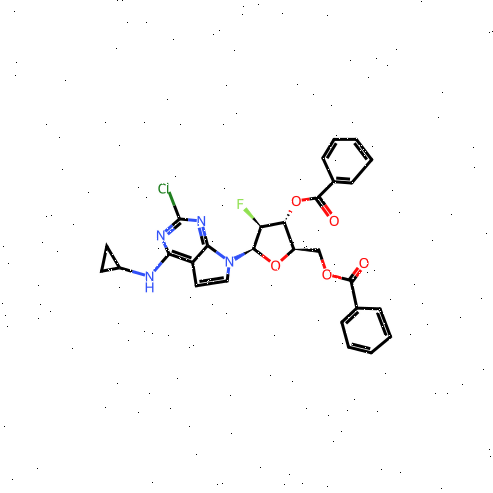 O=C(OC[C@H]1O[C@@H](n2ccc3c(NC4CC4)nc(Cl)nc32)[C@@H](F)[C@@H]1OC(=O)c1ccccc1)c1ccccc1